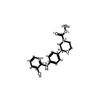 CC(C)(C)OC(=O)N1CCO[C@@H](c2ccc(Nc3ncccc3Cl)cc2)C1